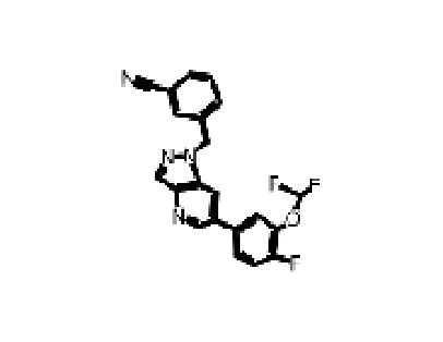 N#Cc1cccc(Cn2ncc3ncc(-c4ccc(F)c(OC(F)F)c4)cc32)c1